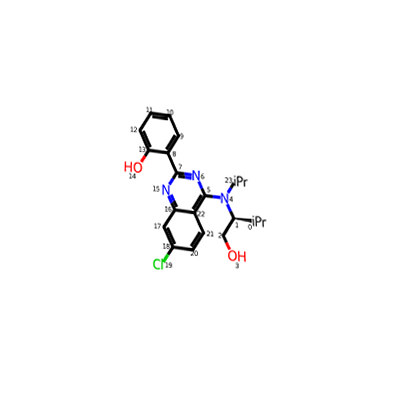 CC(C)[C@@H](CO)N(c1nc(-c2ccccc2O)nc2cc(Cl)ccc12)C(C)C